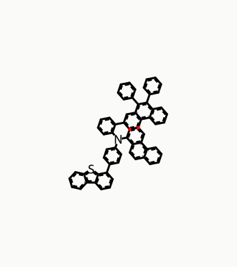 c1ccc(-c2c(-c3ccccc3)c3cc(-c4ccccc4N(c4ccc(-c5cccc6c5sc5ccccc56)cc4)c4cccc5c4ccc4ccccc45)ccc3c3ccccc23)cc1